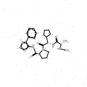 CN[C@@H](C)C(=O)N[C@H](C(=O)N1CCC[C@H]1C(=O)Nc1snnc1-c1ccccc1)C1CCCC1